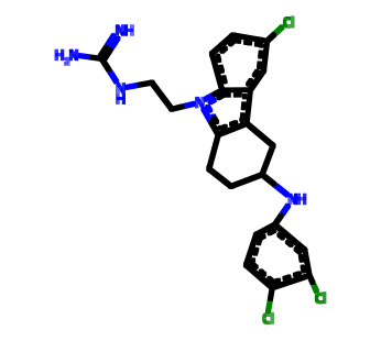 N=C(N)NCCn1c2c(c3cc(Cl)ccc31)CC(Nc1ccc(Cl)c(Cl)c1)CC2